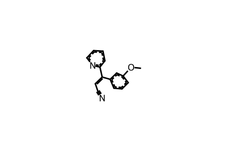 COc1cccc(/C(=C\C#N)c2ccccn2)c1